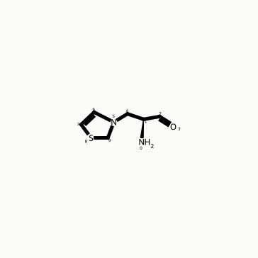 N[C@H](C=O)CN1C=CSC1